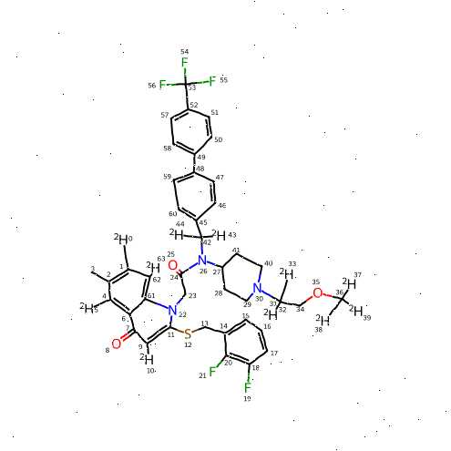 [2H]c1c(C)c([2H])c2c(=O)c([2H])c(SCc3cccc(F)c3F)n(CC(=O)N(C3CCN(C([2H])([2H])COC([2H])([2H])[2H])CC3)C([2H])([2H])c3ccc(-c4ccc(C(F)(F)F)cc4)cc3)c2c1[2H]